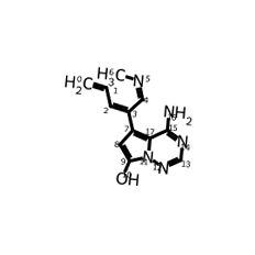 C=C/C=C(\C=N/C)c1cc(O)n2ncnc(N)c12